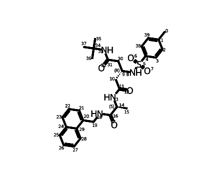 Cc1ccc(S(=O)(=O)N[C@H](CC(=O)N[C@@H](C)C(=O)NCc2cccc3ccccc23)CC(=O)NC(C)(C)C)cc1